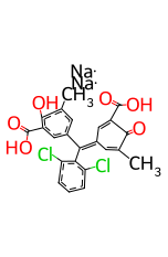 CC1=CC(=C(c2cc(C)c(O)c(C(=O)O)c2)c2c(Cl)cccc2Cl)C=C(C(=O)O)C1=O.[Na].[Na]